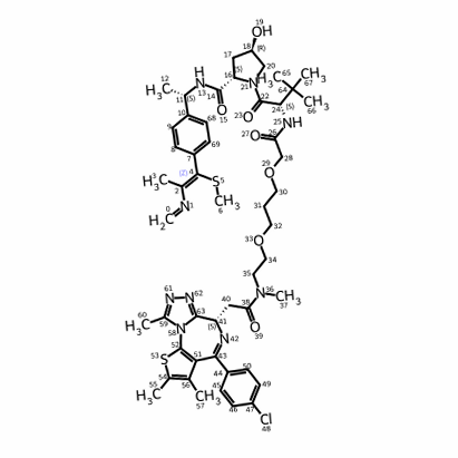 C=N/C(C)=C(\SC)c1ccc([C@H](C)NC(=O)[C@@H]2C[C@@H](O)CN2C(=O)[C@@H](NC(=O)COCCCOCCN(C)C(=O)C[C@@H]2N=C(c3ccc(Cl)cc3)c3c(sc(C)c3C)-n3c(C)nnc32)C(C)(C)C)cc1